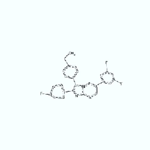 CCc1ccc(-c2c(-c3ccc(F)cc3)nc3ncc(-c4cc(F)cc(F)c4)cn23)cc1